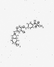 CS(=O)(=O)Nc1ccc(COc2coc(CN3Cc4ccc(C(F)(F)F)cc4C3)cc2=O)cc1